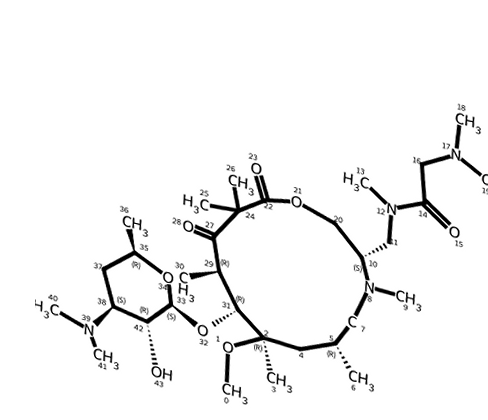 CO[C@]1(C)C[C@@H](C)CN(C)[C@@H](CN(C)C(=O)CN(C)C)COC(=O)C(C)(C)C(=O)[C@H](C)[C@H]1O[C@@H]1O[C@H](C)C[C@H](N(C)C)[C@H]1O